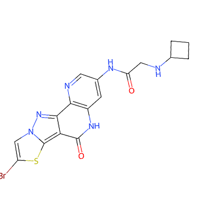 O=C(CNC1CCC1)Nc1cnc2c(c1)[nH]c(=O)c1c2nn2cc(Br)sc12